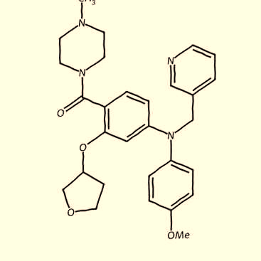 COc1ccc(N(Cc2cccnc2)c2ccc(C(=O)N3CCN(C)CC3)c(OC3CCOC3)c2)cc1